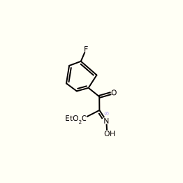 CCOC(=O)/C(=N\O)C(=O)c1cccc(F)c1